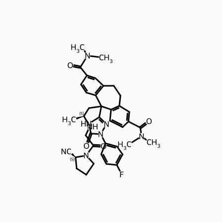 C[C@@H](CC1(c2nn(-c3ccc(F)cc3)c(=O)[nH]2)c2ccc(C(=O)N(C)C)cc2CCc2cc(C(=O)N(C)C)ccc21)NCC(=O)N1CCC[C@H]1C#N